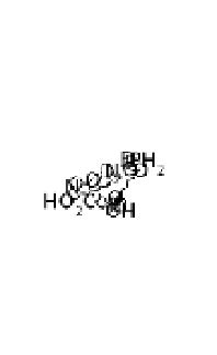 O=C(CCCCCOP(=O)(O)c1ccc(C(=O)O)c(C2=c3cc4c5c(c3Oc3c2cc2c6c3CCCN6CCC2)CCC[N+]=5CCC4)c1)OP(F)P